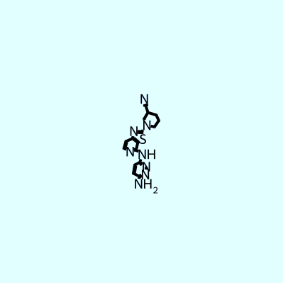 N#CC1CCCN(c2nc3ccnc(Nc4ccc(N)nn4)c3s2)C1